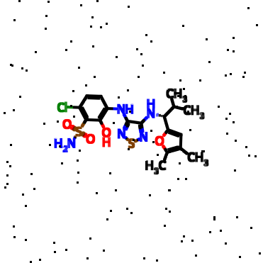 Cc1cc([C@H](Nc2nsnc2Nc2ccc(Cl)c(S(N)(=O)=O)c2O)C(C)C)oc1C